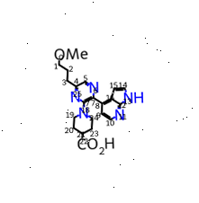 COCCCc1cnc(-c2ccnc3[nH]ccc23)c(N2CCC(C(=O)O)CC2)n1